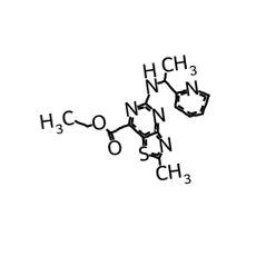 CCOC(=O)c1nc(NC(C)c2ccccn2)nc2nc(C)sc12